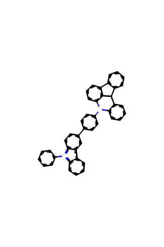 CC12c3ccccc3-c3cccc(c31)N(c1ccc(-c3ccc4c(c3)c3ccccc3n4-c3ccccc3)cc1)c1ccccc12